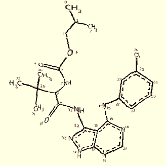 CC(C)COC(=O)NC(C(=O)Nc1n[nH]c2ncnc(Nc3cccc(Cl)c3)c12)C(C)(C)C